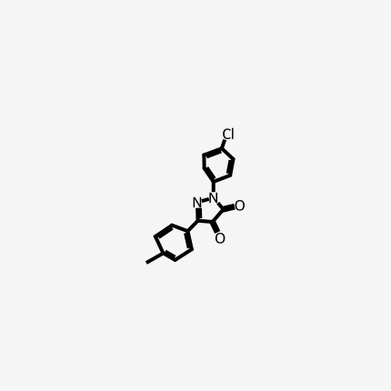 Cc1ccc(C2=NN(c3ccc(Cl)cc3)C(=O)C2=O)cc1